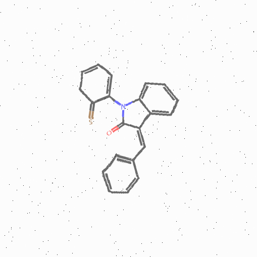 O=C1C(=Cc2ccccc2)c2ccccc2N1C1=CC=CCC1=S